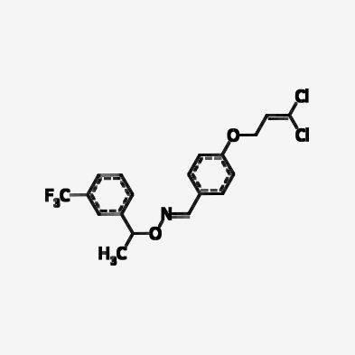 CC(ON=Cc1ccc(OCC=C(Cl)Cl)cc1)c1cccc(C(F)(F)F)c1